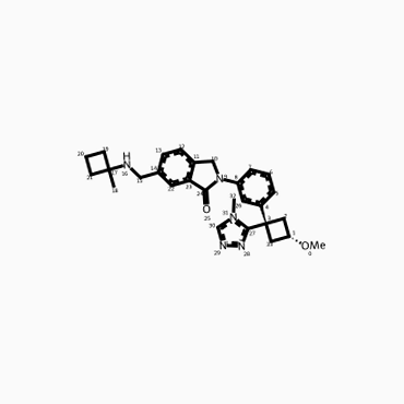 CO[C@H]1C[C@@](c2cccc(N3Cc4ccc(CNC5(C)CCC5)cc4C3=O)c2)(c2nncn2C)C1